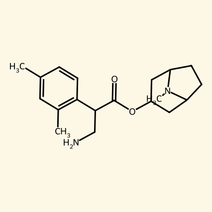 Cc1ccc(C(CN)C(=O)OC2CC3CCC(C2)N3C)c(C)c1